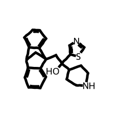 OC(CC12CC(c3ccccc31)c1ccccc12)(c1cncs1)C1CCNCC1